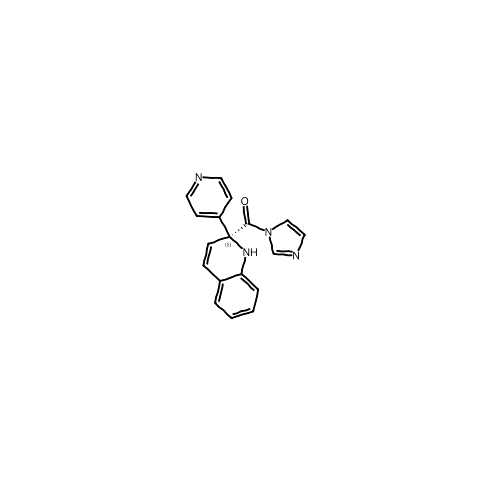 O=C(n1ccnc1)[C@@]1(c2ccncc2)C=Cc2ccccc2N1